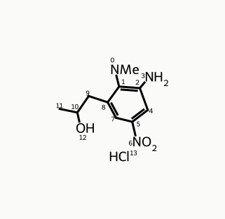 CNc1c(N)cc([N+](=O)[O-])cc1CC(C)O.Cl